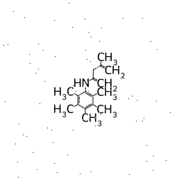 C=C(C)CC(=C)Nc1c(C)c(C)c(C)c(C)c1C